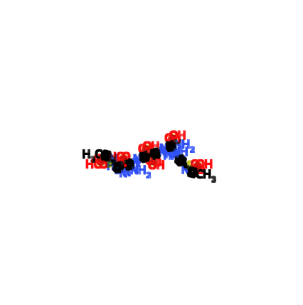 Cc1ccc2nc(-c3ccc(/N=N\c4c(N)c(N=Nc5ccc(-c6ccc(N=Nc7cc(S(=O)(=O)O)c(N)c(NNc8ccc(-c9nc%10ccc(C)c(S(=O)(=O)O)c%10s9)cc8)c7N)cc6S(=O)(=O)O)c(S(=O)(=O)O)c5)cc(S(=O)(=O)O)c4N)cc3)sc2c1S(=O)(=O)O